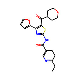 CCC1=NC=C(C(=O)Nc2nc(-c3ccco3)c(C(=O)C3CCOCC3)s2)CC1